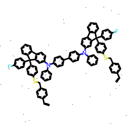 C=Cc1ccc(CSc2ccc(C3(c4ccc(F)cc4)c4ccccc4-c4ccc(N(c5ccccc5)c5ccc(-c6ccc(N(c7ccccc7)c7ccc8c(c7)C(c7ccc(F)cc7)(c7ccc(SCc9ccc(C=C)cc9)cc7)c7ccccc7-8)cc6)cc5)cc43)cc2)cc1